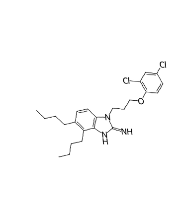 CCCCc1ccc2c([nH]c(=N)n2CCCOc2ccc(Cl)cc2Cl)c1CCCC